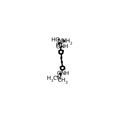 CCN(C)CC(=O)Nc1ccc(C#CC#Cc2ccc(C(=O)N[C@@H](CN)C(=O)NO)cc2)cc1